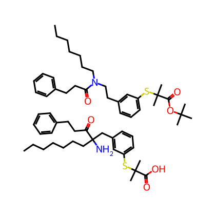 CCCCCCCC(N)(Cc1cccc(SC(C)(C)C(=O)O)c1)C(=O)CCc1ccccc1.CCCCCCCN(CCc1cccc(SC(C)(C)C(=O)OC(C)(C)C)c1)C(=O)CCc1ccccc1